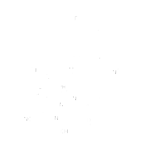 Cn1c(C#N)cn1N1Cc2c(ccnc2-c2ccc(F)cc2OCC(F)(F)P)C1=O